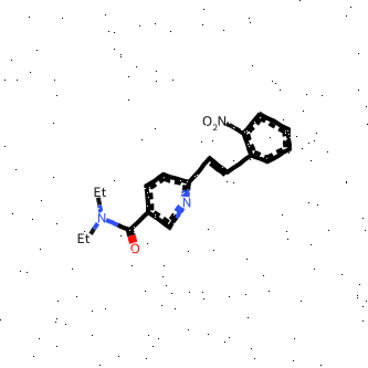 CCN(CC)C(=O)c1ccc(C=Cc2ccccc2[N+](=O)[O-])nc1